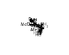 COCCOC1C(O)C(COc2nc(N)c3ncn(C4OC(CO)C(O)C4OC)c3n2)OC1n1ccc(=O)[nH]c1=O